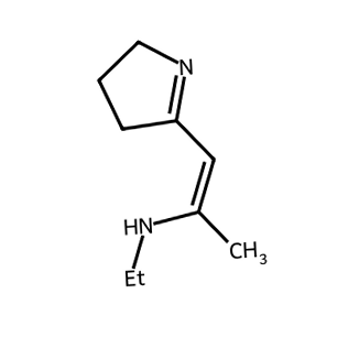 CCNC(C)=CC1=NCCC1